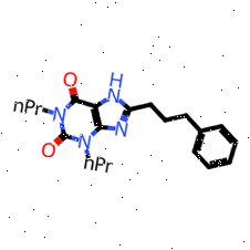 CCCn1c(=O)c2[nH]c(CCCc3ccccc3)nc2n(CCC)c1=O